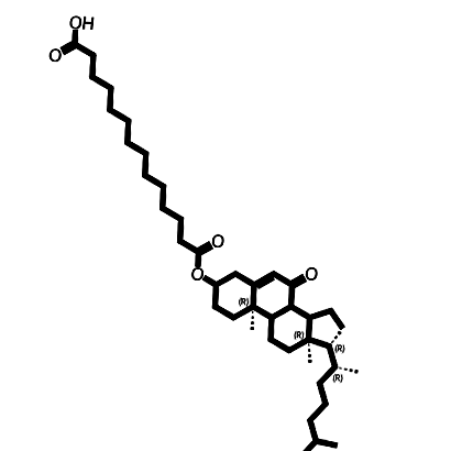 CC(C)CCC[C@@H](C)[C@H]1CCC2C3C(=O)C=C4CC(OC(=O)CCCCCCCCCCCCC(=O)O)CC[C@]4(C)C3CC[C@@]21C